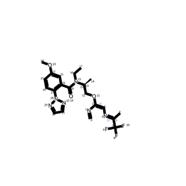 C=N/C(=C\N=C(/C)C(F)(F)F)OC[C@H](C)N(CC)C(=O)c1cc(OC)ccc1-n1nccn1